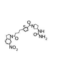 NC(=O)NC1CCN(C(=O)c2ccc(CCCC(=O)N3CCc4ccc([N+](=O)[O-])cc43)s2)C1